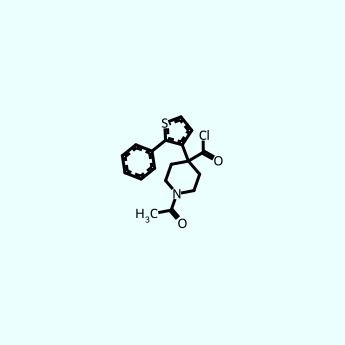 CC(=O)N1CCC(C(=O)Cl)(c2ccsc2-c2ccccc2)CC1